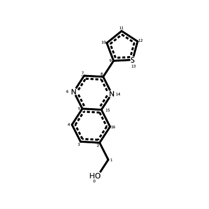 OCc1ccc2n[c]c(-c3cccs3)nc2c1